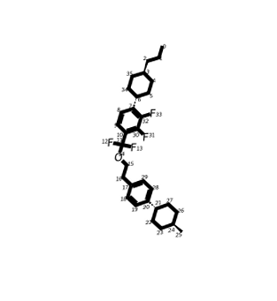 CCC[C@H]1CC[C@H](c2ccc(C(F)(F)OCCc3ccc([C@H]4CC[C@H](C)CC4)cc3)c(F)c2F)CC1